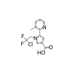 Cc1cccnc1-c1cc(C(=O)O)cn1CC(F)(F)Cl